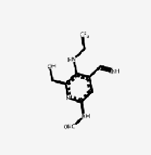 N=Cc1cc(NC=O)nc(CO)c1NCC(F)(F)F